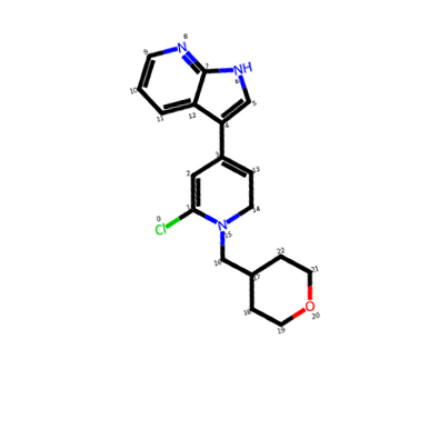 ClC1=CC(c2c[nH]c3ncccc23)=CCN1CC1CCOCC1